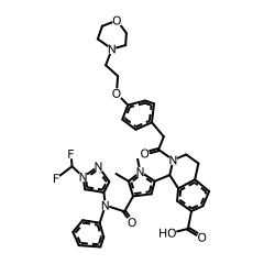 Cc1c(C(=O)N(c2ccccc2)c2cnn(C(F)F)c2)cc(C2c3cc(C(=O)O)ccc3CCN2C(=O)Cc2ccc(OCCN3CCOCC3)cc2)n1C